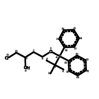 CC(C)(C)[Si](OCCC(O)CCl)(c1ccccc1)c1ccccc1